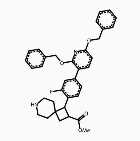 COC(=O)C1CC2(CCNCC2)C1c1ccc(-c2ccc(OCc3ccccc3)nc2OCc2ccccc2)cc1F